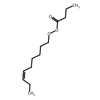 CC/C=C\CCCCCOOC(=O)CCC